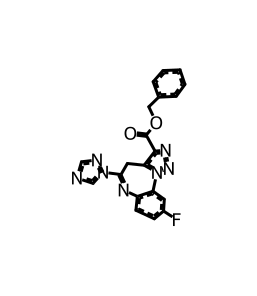 O=C(OCc1ccccc1)c1nnn2c1CC(n1cncn1)=Nc1ccc(F)cc1-2